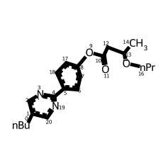 CCCCc1cnc(-c2ccc(OC(=O)CC(C)OCCC)cc2)nc1